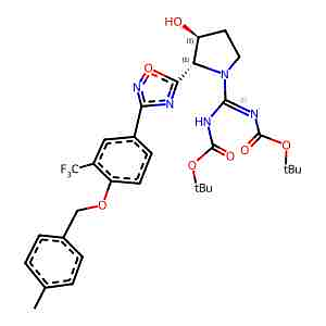 Cc1ccc(COc2ccc(-c3noc([C@@H]4[C@@H](O)CCN4/C(=N/C(=O)OC(C)(C)C)NC(=O)OC(C)(C)C)n3)cc2C(F)(F)F)cc1